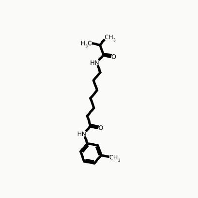 Cc1cccc(NC(=O)CCCCCCNC(=O)C(C)C)c1